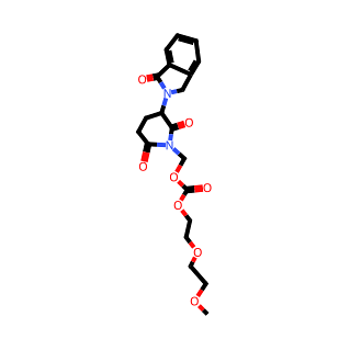 COCCOCCOC(=O)OCN1C(=O)CCC(N2Cc3ccccc3C2=O)C1=O